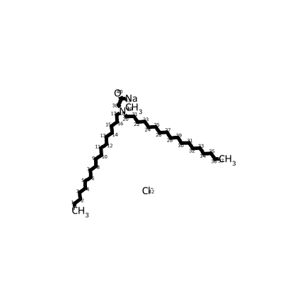 CCCCCCCCCCCCCCCCCC[N+](C)(CCCCCCCCCCCCCCCCCC)C[C](=O)[Na].[Cl-]